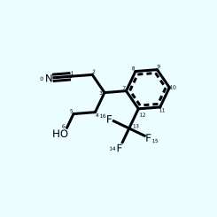 N#CCC(CCO)c1ccccc1C(F)(F)F